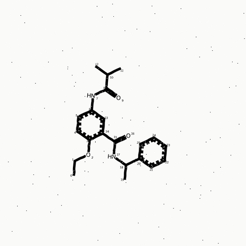 CCOc1ccc(NC(=O)C(C)C)cc1C(=O)NC(C)c1ccccc1